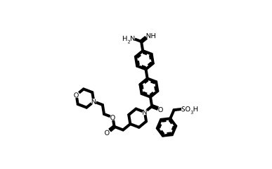 N=C(N)c1ccc(-c2ccc(C(=O)N3CCC(CC(=O)OCCN4CCOCC4)CC3)cc2)cc1.O=S(=O)(O)Cc1ccccc1